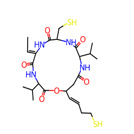 C/C=C1\NC(=O)C(CS)NC(=O)C(C(C)C)NC(=O)CC(/C=C/CCS)OC(=O)C(C(C)C)NC1=O